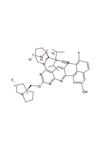 CC(C)[Si](C#Cc1c(F)ccc2cc(O)cc(-c3nc4nc(OC[C@@]56CCCN5C[C@H](F)C6)nc(N5C[C@H]6CC[C@@H](C5)N6)c4cc3F)c12)(C(C)C)C(C)C